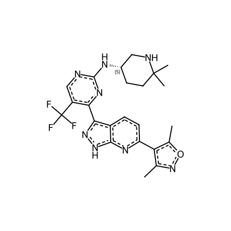 Cc1noc(C)c1-c1ccc2c(-c3nc(N[C@H]4CCC(C)(C)NC4)ncc3C(F)(F)F)n[nH]c2n1